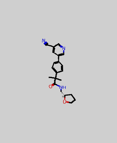 CC(C)(C(=O)NC[C@@H]1CCCO1)c1ccc(-c2cncc(C#N)c2)cc1